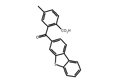 Cc1ccc(C(=O)O)c(C(=O)c2ccc3c(c2)sc2ccccc23)c1